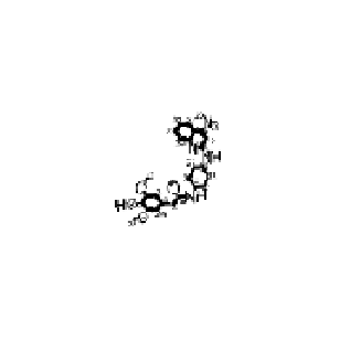 COc1cc(CC(=O)N[C@H]2CC[C@@H](Nc3cc(N(C)C)c4ccccc4n3)CC2)cc(OC)c1O